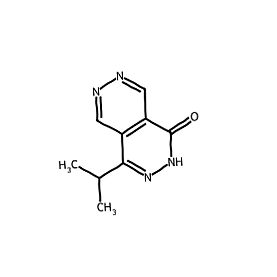 CC(C)c1n[nH]c(=O)c2cnncc12